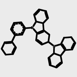 C1=CC2C3=C(C=CC(N4C5=C(C=CCC5)C5C=CC=CC54)C3)N(c3cccc(C4=CCCC=C4)c3)C2C=C1